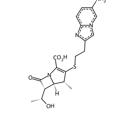 C[C@@H](O)[C@@H]1C(=O)N2C(C(=O)O)=C(SCCc3cn4cc(N)ccc4n3)[C@H](C)[C@@H]12